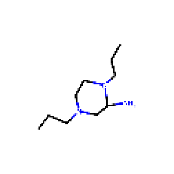 CCCN1CCN(CCC)C(N)C1